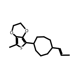 C/C=C/C1CCCC(c2sc(C)c3c2OCCO3)CCC1